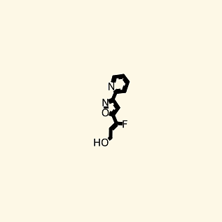 OCC=C(F)c1cc(-c2ccccn2)no1